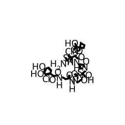 Nc1nc(/C(=N/OC2(C(=O)O)CCC2)C(=O)NC2C(=O)N3C[C@@](C(=O)O)(N4CCN(NC(=O)CCNC(=O)C(=O)c5ccc(O)c(O)c5Cl)C4=O)S[C@H]23)c(Cl)s1